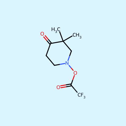 CC1(C)CN(OC(=O)C(F)(F)F)CCC1=O